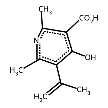 C=C(C)c1c(C)nc(C)c(C(=O)O)c1O